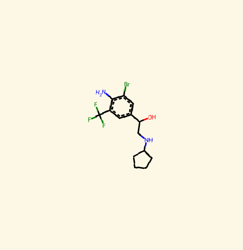 Nc1c(Br)cc(C(O)CNC2CCCC2)cc1C(F)(F)F